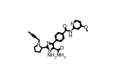 CC#CCN1CCCC1c1nc(-c2ccc(C(=O)Nc3cc(OC)ccn3)cc2)c(C(N)=O)n1N